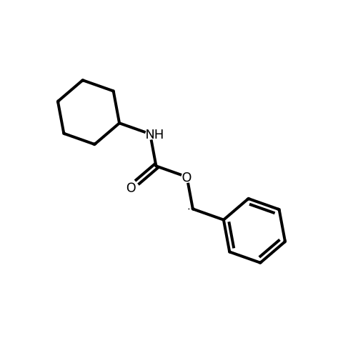 O=C(NC1CCCCC1)O[CH]c1ccccc1